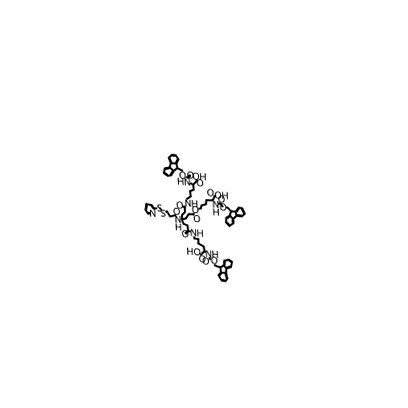 O=C(CCC(CCC(=O)NCCCCC(NC(=O)OCC1c2ccccc2-c2ccccc21)C(=O)O)(CCC(=O)OCCCCC(NC(=O)OCC1c2ccccc2-c2ccccc21)C(=O)O)NC(=O)CCSSc1ccccn1)NCCCCC(NC(=O)OCC1c2ccccc2-c2ccccc21)C(=O)O